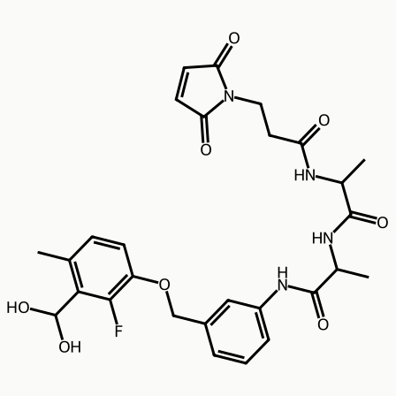 Cc1ccc(OCc2cccc(NC(=O)C(C)NC(=O)C(C)NC(=O)CCN3C(=O)C=CC3=O)c2)c(F)c1C(O)O